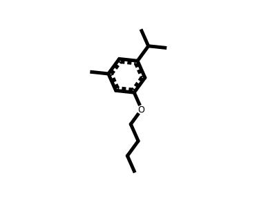 CCCCOc1cc(C)cc([C](C)C)c1